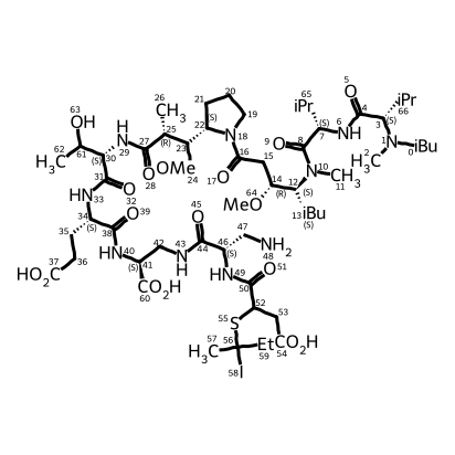 CCC(C)N(C)[C@H](C(=O)N[C@H](C(=O)N(C)[C@@H]([C@@H](C)CC)[C@@H](CC(=O)N1CCC[C@H]1C(OC)[C@@H](C)C(=O)N[C@H](C(=O)N[C@@H](CCC(=O)O)C(=O)N[C@@H](CNC(=O)[C@H](CN)NC(=O)C(CC(=O)O)SC(C)(I)CC)C(=O)O)C(C)O)OC)C(C)C)C(C)C